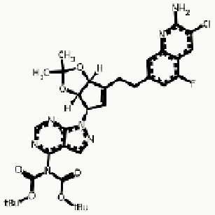 CC(C)(C)OC(=O)N(C(=O)OC(C)(C)C)c1ncnc2c1cnn2[C@@H]1C=C(CCc2cc(F)c3cc(Cl)c(N)nc3c2)[C@H]2OC(C)(C)O[C@H]21